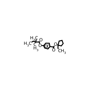 CCC1(OC(=O)C23CCC(OC(=O)C(C)(C)CC)(CC2)CC3)CCCC1